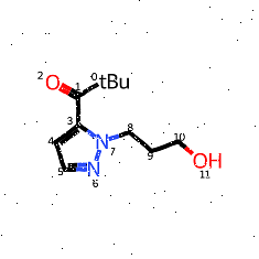 CC(C)(C)C(=O)c1ccnn1CCCO